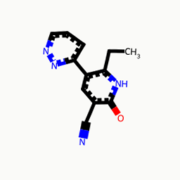 CCc1[nH]c(=O)c(C#N)cc1-c1cccnn1